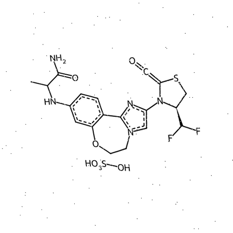 CC(Nc1ccc2c(c1)OCCn1cc(N3C(=C=O)SC[C@H]3C(F)F)nc1-2)C(N)=O.O=S(=O)(O)O